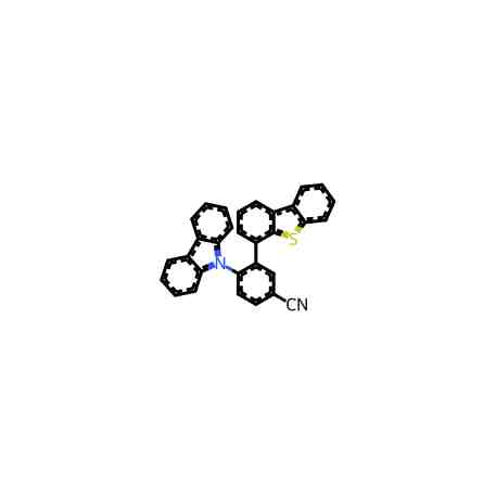 N#Cc1ccc(-n2c3ccccc3c3ccccc32)c(-c2cccc3c2sc2ccccc23)c1